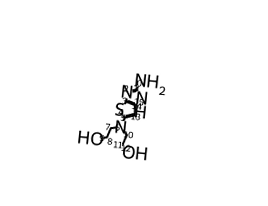 Nc1nc2sc(N(CCO)CCO)cc2[nH]1